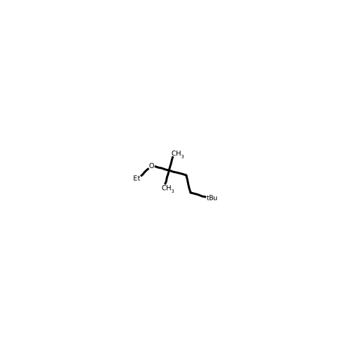 CCOC(C)(C)CCC(C)(C)C